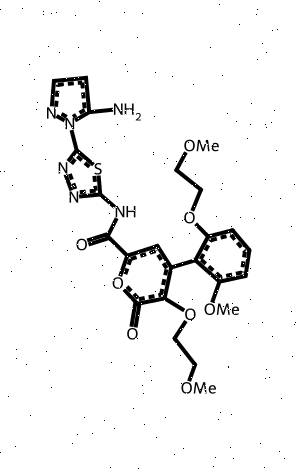 COCCOc1cccc(OC)c1-c1cc(C(=O)Nc2nnc(-n3nccc3N)s2)oc(=O)c1OCCOC